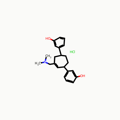 CN(C)CC1=CC(c2cccc(O)c2)CCC(c2cccc(O)c2)C1.Cl